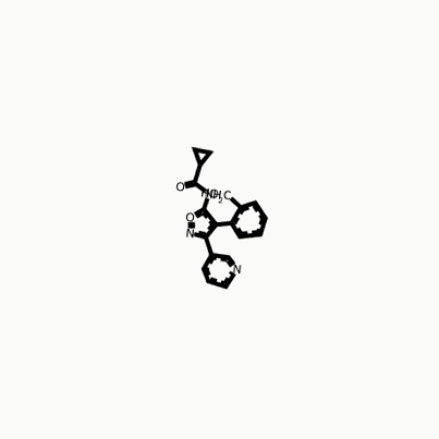 O=C(O)c1ccccc1-c1c(-c2cccnc2)noc1NC(=O)C1CC1